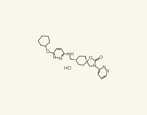 Cl.O=C1O[C@]2(CC[C@H](CNc3ccc(OC4CCCCC4)nn3)CC2)CN1c1cccnn1